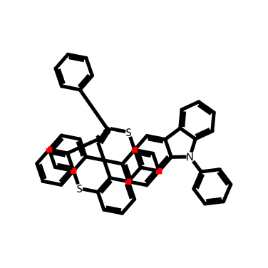 c1ccc(-c2cc3c(c(-c4ccccc4)c2)C2(c4ccccc4Sc4cccc(-c5ccc6c7ccccc7n(-c7ccccc7)c6c5)c42)c2ccccc2S3)cc1